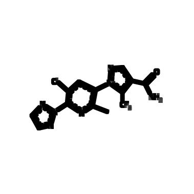 Cc1nc(-n2nccn2)c(Cl)cc1-n1ncc(C(N)=O)c1C(F)(F)F